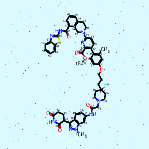 Cc1cc(OCCCC2(F)CCN(CC(=O)Nc3ccc4c(C5CCC(=O)NC5=O)nn(C)c4c3)CC2)ccc1-c1ccc(N2CCc3cccc(C(=O)Nc4nc5ccccc5s4)c3C2)nc1C(=O)OC(C)(C)C